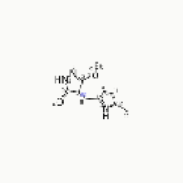 CCOC1=NNC(=O)/C1=C/c1ccc(C)[nH]1